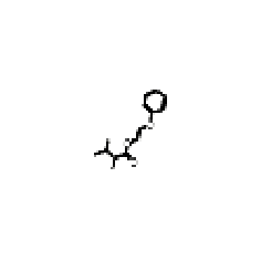 CC(C)C(C)C(=O)OCCOc1ccccc1